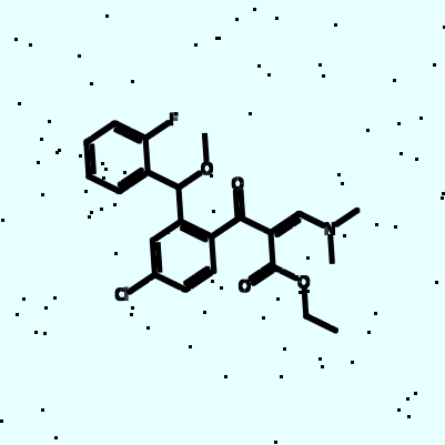 CCOC(=O)/C(=C\N(C)C)C(=O)c1ccc(Cl)cc1C(OC)c1ccccc1F